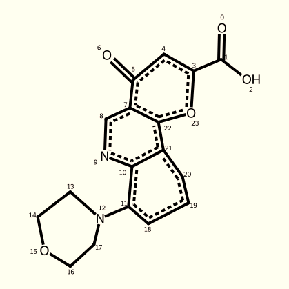 O=C(O)c1cc(=O)c2cnc3c(N4CCOCC4)cccc3c2o1